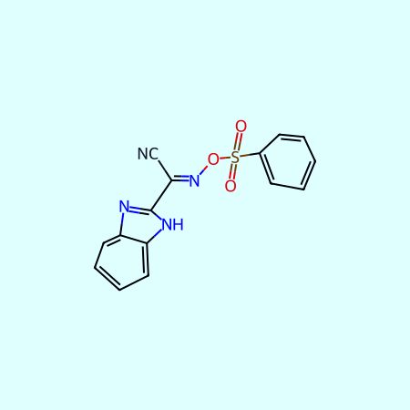 N#C/C(=N\OS(=O)(=O)c1ccccc1)c1nc2ccccc2[nH]1